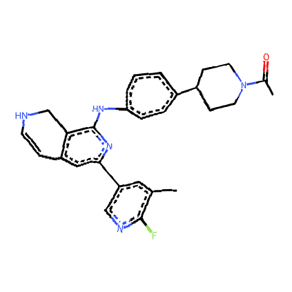 CC(=O)N1CCC(c2ccc(Nc3nc(-c4cnc(F)c(C)c4)cc4c3CNC=C4)cc2)CC1